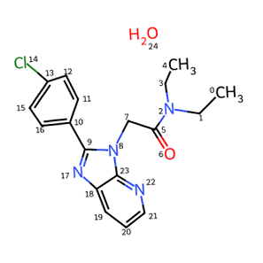 CCN(CC)C(=O)Cn1c(-c2ccc(Cl)cc2)nc2cccnc21.O